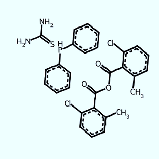 Cc1cccc(Cl)c1C(=O)OC(=O)c1c(C)cccc1Cl.NC(N)=S.c1ccc(Pc2ccccc2)cc1